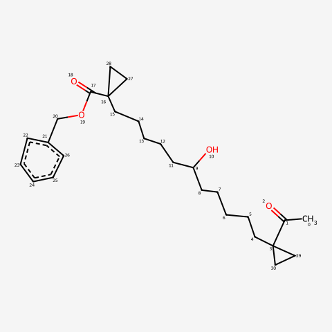 CC(=O)C1(CCCCCC(O)CCCCCC2(C(=O)OCc3ccccc3)CC2)CC1